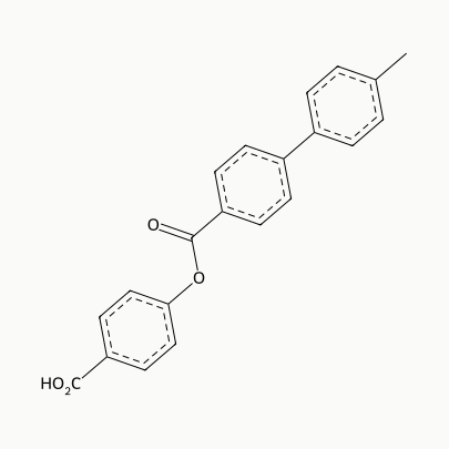 Cc1ccc(-c2ccc(C(=O)Oc3ccc(C(=O)O)cc3)cc2)cc1